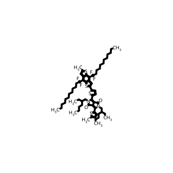 CCCCCCCCCCCC(F)(F)c1c2cc(-c3ccc(C4=C5C(=O)N(CC(CC)CCCC)C(c6ccc(C)s6)=C5C(=O)N4CC(CC)CCCC)s3)sc2c(C(F)(F)CCCCCCCCCCC)c2cc(C)sc12